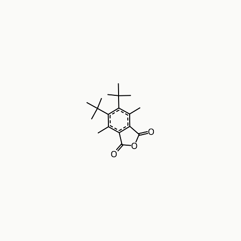 Cc1c2c(c(C)c(C(C)(C)C)c1C(C)(C)C)C(=O)OC2=O